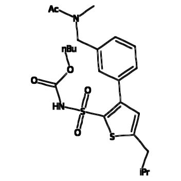 CCCCOC(=O)NS(=O)(=O)c1sc(CC(C)C)cc1-c1cccc(CN(C)C(C)=O)c1